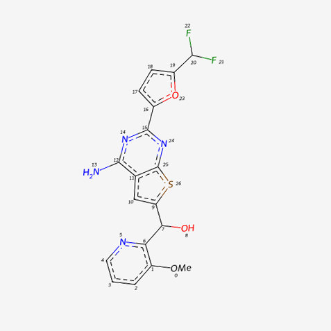 COc1cccnc1C(O)c1cc2c(N)nc(-c3ccc(C(F)F)o3)nc2s1